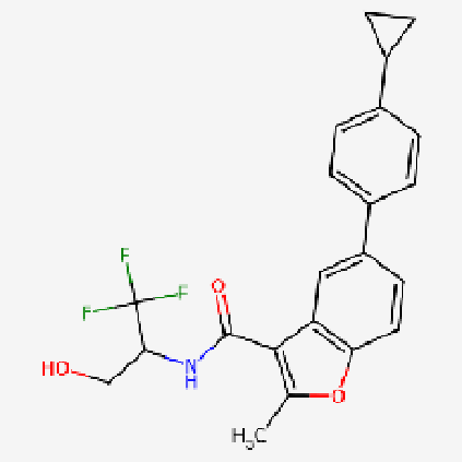 Cc1oc2ccc(-c3ccc(C4CC4)cc3)cc2c1C(=O)NC(CO)C(F)(F)F